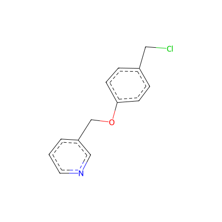 ClCc1ccc(OCc2cccnc2)cc1